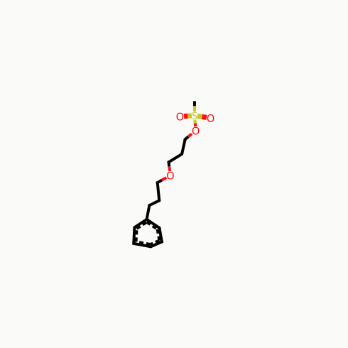 CS(=O)(=O)OCCCOCCCc1ccccc1